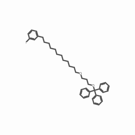 Ic1cccc(CCCCCCCCCCCCOCCCOC(c2ccccc2)(c2ccccc2)c2ccccc2)c1